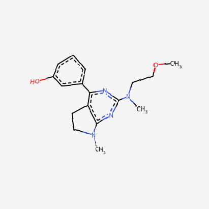 COCCN(C)c1nc(-c2cccc(O)c2)c2c(n1)N(C)CC2